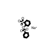 O=S(=O)([O-])c1ccccc1OS(=O)(=O)c1ccccc1.[Na+]